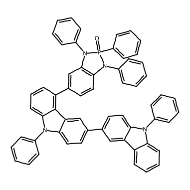 O=P1(c2ccccc2)N(c2ccccc2)c2ccc(-c3cccc4c3c3cc(-c5ccc6c(c5)c5ccccc5n6-c5ccccc5)ccc3n4-c3ccccc3)cc2N1c1ccccc1